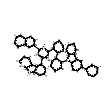 c1ccc(-c2ccc3c(c2)c2ccccc2n3-c2ccccc2-c2ccccc2-c2nc(-c3ccc4ccccc4c3)nc(-c3cccc4oc5ccccc5c34)n2)cc1